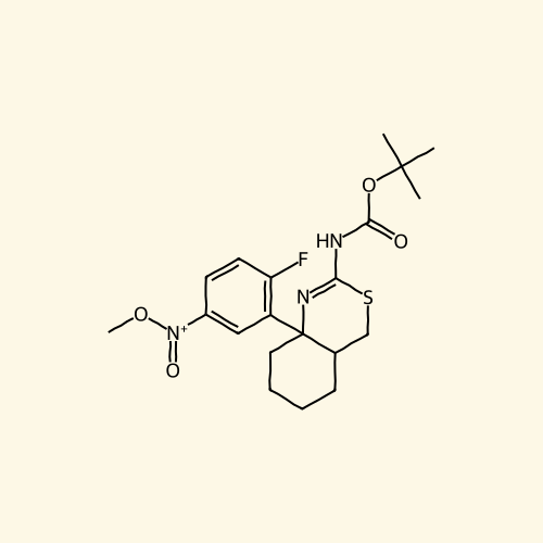 CO[N+](=O)c1ccc(F)c(C23CCCCC2CSC(NC(=O)OC(C)(C)C)=N3)c1